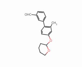 Cc1cc(OC2CCCCO2)ccc1-c1cccc(C=O)c1